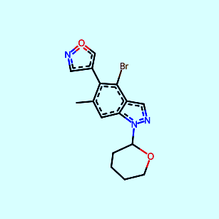 Cc1cc2c(cnn2C2CCCCO2)c(Br)c1-c1cnoc1